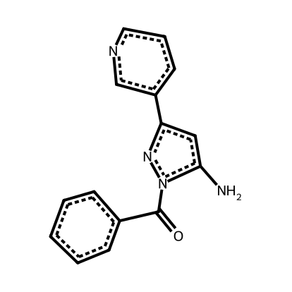 Nc1cc(-c2cccnc2)nn1C(=O)c1ccccc1